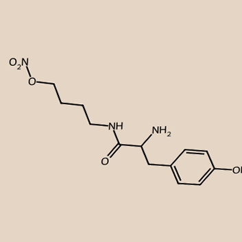 NC(Cc1ccc(O)cc1)C(=O)NCCCCO[N+](=O)[O-]